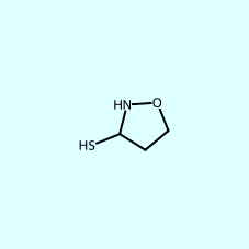 SC1CCON1